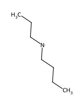 CCCC[N]CCC